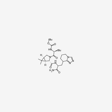 CC(C)(C)OC(=O)N[C@H](C(=O)N1C[C@H]2[C@@H]([C@H]1C(=O)NC(CC1CCCn3cnnc31)C(N)=O)C2(C)C)C(C)(C)C